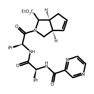 CCOC(=O)C1[C@H]2CC=C[C@H]2CN1C(=O)[C@@H](NC(=O)[C@@H](NC(=O)c1cnccn1)C(C)C)C(C)C